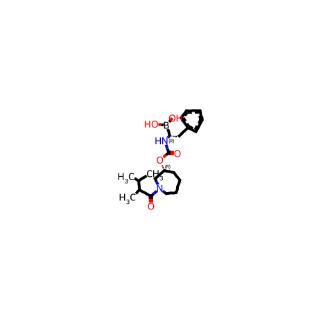 CC(C)C(C)C(=O)N1CCCC[C@@H](OC(=O)N[C@@H](Cc2ccccc2)B(O)O)C1